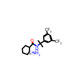 CC(C)(NC(=O)C1CCCC[C@H]1N)c1cc(C(F)(F)F)cc(C(F)(F)F)c1